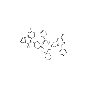 COC(=O)CCCC(CCC1(CCN2CCC(N(C(=O)c3ccco3)c3ccc(C)cn3)CC2)CCCCC1)(COC(=O)c1ccccc1)COC(=O)c1ccccc1